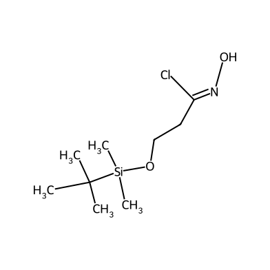 CC(C)(C)[Si](C)(C)OCCC(Cl)=NO